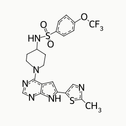 Cc1ncc(-c2cc3c(N4CCC(NS(=O)(=O)c5ccc(OC(F)(F)F)cc5)CC4)ncnc3[nH]2)s1